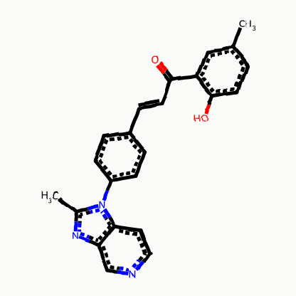 Cc1ccc(O)c(C(=O)C=Cc2ccc(-n3c(C)nc4cnccc43)cc2)c1